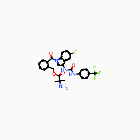 CC(C)(N)C(=O)OCc1ccccc1C(=O)n1cc(NC(=O)Nc2ccc(C(F)(F)F)cc2)c2cc(F)ccc21